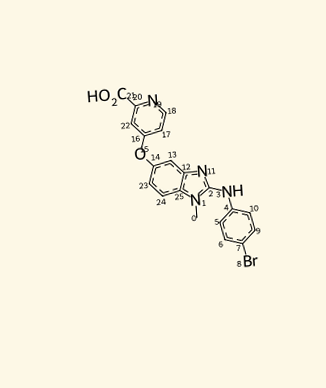 Cn1c(Nc2ccc(Br)cc2)nc2cc(Oc3ccnc(C(=O)O)c3)ccc21